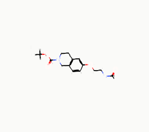 CC(=O)NCCOc1ccc2c(c1)CCN(C(=O)OC(C)(C)C)C2